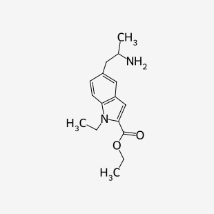 CCOC(=O)c1cc2cc(CC(C)N)ccc2n1CC